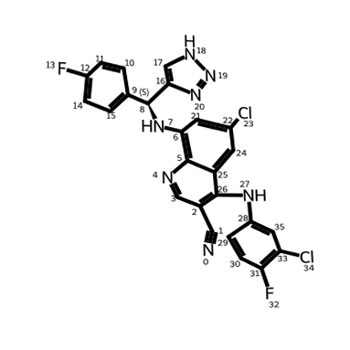 N#Cc1cnc2c(N[C@@H](c3ccc(F)cc3)c3c[nH]nn3)cc(Cl)cc2c1Nc1ccc(F)c(Cl)c1